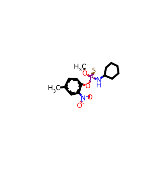 COP(=S)(NC1CCCCC1)Oc1ccc(C)cc1[N+](=O)[O-]